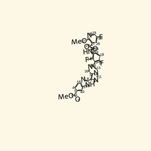 COC(=O)c1ccc2nc(-c3ncn4cc(-c5c(F)ccc(NS(=O)(=O)c6cc(F)cnc6OC)c5F)ncc34)[nH]c2c1